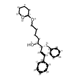 O[C@@H](CCCCOC1CCCCO1)[C@@H](/C=C/c1ccccc1)Sc1ccccc1